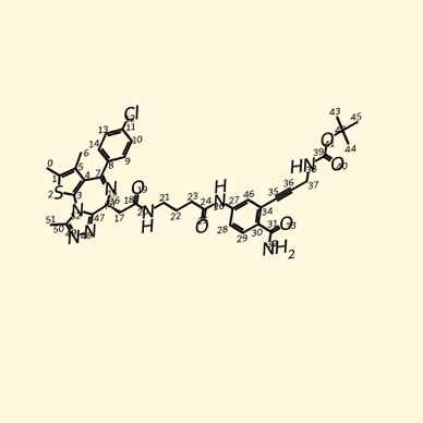 Cc1sc2c(c1C)C(c1ccc(Cl)cc1)=N[C@@H](CC(=O)NCCCC(=O)Nc1ccc(C(N)=O)c(C#CCNC(=O)OC(C)(C)C)c1)c1nnc(C)n1-2